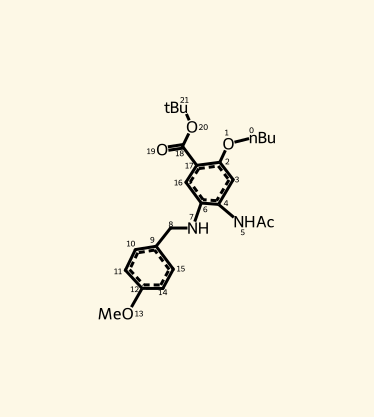 CCCCOc1cc(NC(C)=O)c(NCc2ccc(OC)cc2)cc1C(=O)OC(C)(C)C